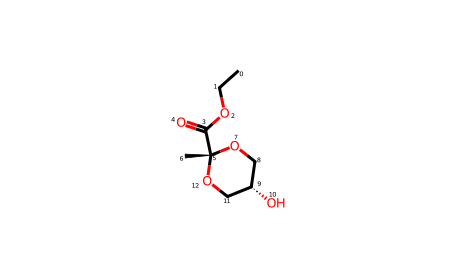 CCOC(=O)[C@]1(C)OC[C@H](O)CO1